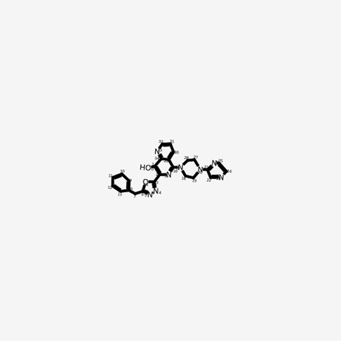 Oc1c(-c2nnc(Cc3ccccc3)o2)nc(N2CCN(c3cnccn3)CC2)c2cccnc12